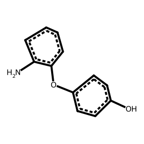 Nc1ccccc1Oc1ccc(O)cc1